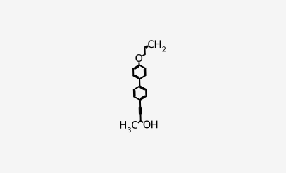 C=CCOc1ccc(-c2ccc(C#CC(C)O)cc2)cc1